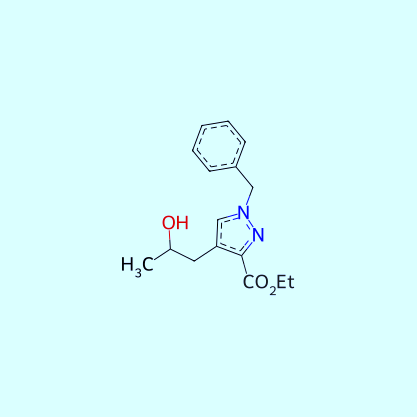 CCOC(=O)c1nn(Cc2ccccc2)cc1CC(C)O